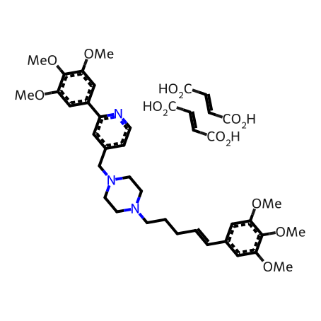 COc1cc(C=CCCCN2CCN(Cc3ccnc(-c4cc(OC)c(OC)c(OC)c4)c3)CC2)cc(OC)c1OC.O=C(O)C=CC(=O)O.O=C(O)C=CC(=O)O